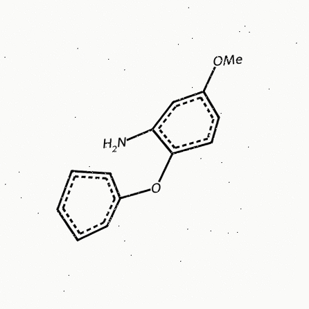 COc1ccc(Oc2ccccc2)c(N)c1